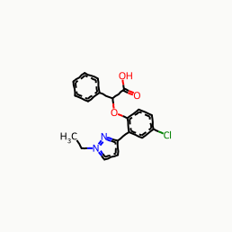 CCn1ccc(-c2cc(Cl)ccc2OC(C(=O)O)c2ccccc2)n1